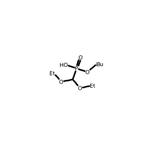 CCOC(OCC)P(=O)(O)OC(C)CC